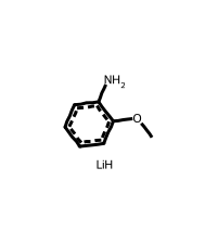 COc1ccccc1N.[LiH]